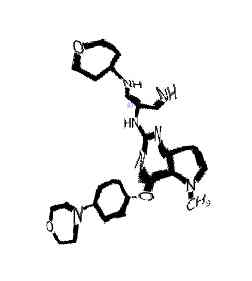 Cn1ccc2nc(N/C(C=N)=C/NC3CCOCC3)nc(O[C@H]3CC[C@H](N4CCOCC4)CC3)c21